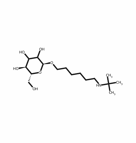 CC(C)(C)NCCCCCCO[C@H]1O[C@H](CO)[C@@H](O)C(O)C1O